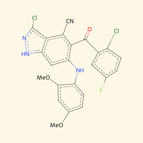 COc1ccc(Nc2cc3[nH]nc(Cl)c3c(C#N)c2C(=O)c2cc(F)ccc2Cl)c(OC)c1